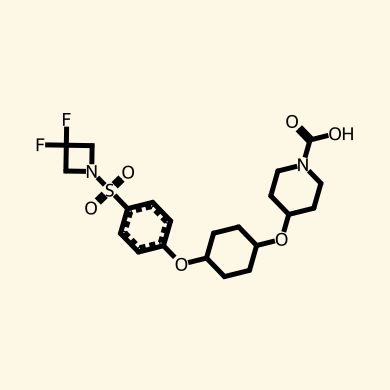 O=C(O)N1CCC(OC2CCC(Oc3ccc(S(=O)(=O)N4CC(F)(F)C4)cc3)CC2)CC1